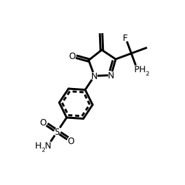 C=C1C(=O)N(c2ccc(S(N)(=O)=O)cc2)N=C1C(C)(F)P